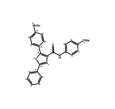 COc1ccc(NC(=O)c2nc(-c3ccccc3)oc2-c2ccc(NC(C)=O)cc2)cc1